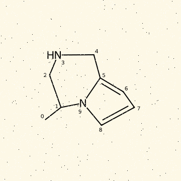 CC1CNCc2cccn21